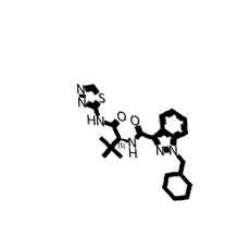 CC(C)(C)[C@H](NC(=O)c1nn(CC2CCCCC2)c2ccccc12)C(=O)Nc1nncs1